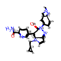 Cn1cc2cc(-n3nc4ccn(CC5CC5)c4c(-c4ccc(C(N)=O)nc4)c3=O)ccc2n1